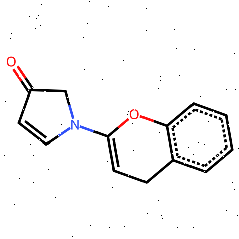 O=C1C=CN(C2=CCc3ccccc3O2)C1